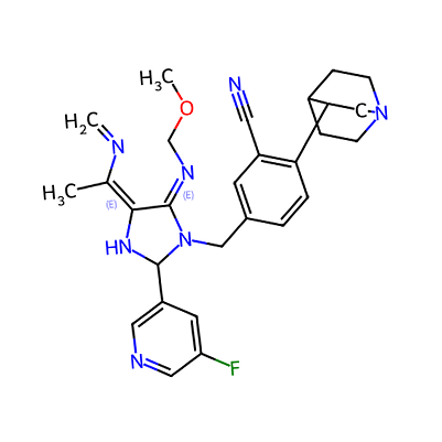 C=N/C(C)=C1/NC(c2cncc(F)c2)N(Cc2ccc(C3CN4CCC3CC4)c(C#N)c2)/C1=N/COC